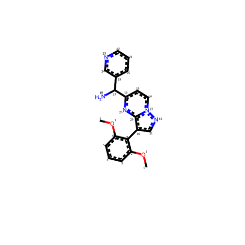 COc1cccc(OC)c1-c1cnn2ccc(C(N)c3cccnc3)nc12